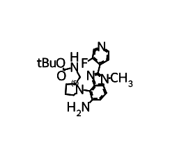 Cn1c(-c2ccncc2F)nc2c(N3CCC[C@H]3CNC(=O)OC(C)(C)C)c(N)ccc21